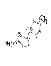 CCCCCCc1ccc(-c2ccc(C#N)cc2)s1